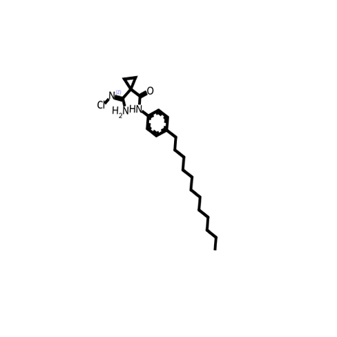 CCCCCCCCCCCCc1ccc(NC(=O)C2(/C(N)=N/Cl)CC2)cc1